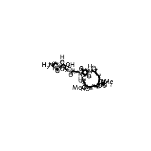 CO[C@H]1/C=C\C=C(/C)C(=O)NC2=CC(=O)C(NCCCC(=O)OCC3OC(n4ccc(N)nc4=O)C(O)C3O)=C(C[C@@H](C)C[C@H](OC)[C@H](O)[C@@H](C)/C=C(\C)C1OC(N)=O)C2=O